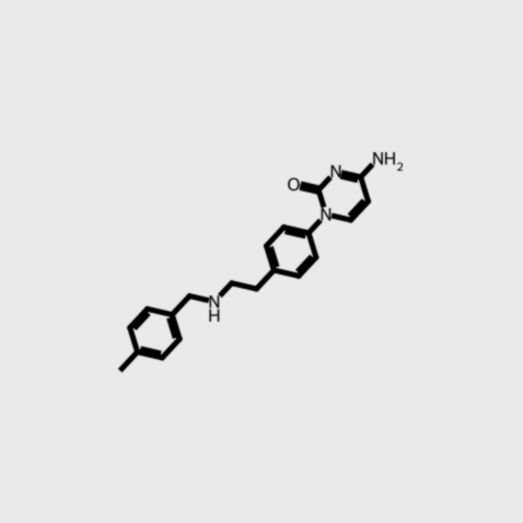 Cc1ccc(CNCCc2ccc(-n3ccc(N)nc3=O)cc2)cc1